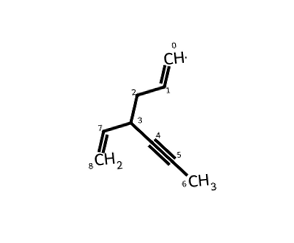 [CH]=CCC(C#CC)C=C